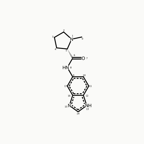 CN1CCC[C@H]1C(=O)Nc1ccc2[nH][c]nc2c1